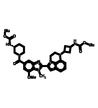 COc1cc(C(=O)N2CCC[C@@H](NC(=O)OC(C)(C)C)C2)cc2nc(-c3cc4cccc5c4n3CCN5C3CC(NC(=O)OC(C)(C)C)C3)n(C)c12